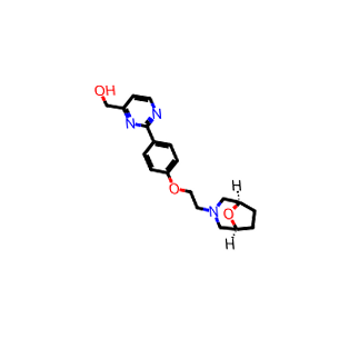 OCc1ccnc(-c2ccc(OCCN3C[C@H]4CC[C@@H](C3)O4)cc2)n1